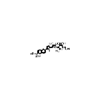 CCCN(CCC)c1ccc2cc(-c3ccc(/C=C(\C#N)C(=O)N[C@H]4C(O)O[C@H](CO)[C@@H](O)[C@@H]4O)n3C)ccc2c1